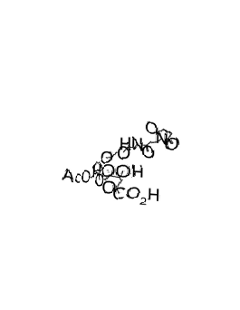 CC(=O)OCc1ccc(OCCOCCNC(=O)CCN2C(=O)C=CC2=O)cc1O[C@@H]1O[C@H](C(=O)O)C[C@H](O)[C@H]1O